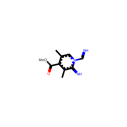 COC(=O)c1c(C)cn(C=N)c(=N)c1C